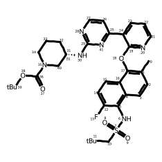 Cc1ccc2c(NS(=O)(=O)CC(C)(C)C)c(F)ccc2c1Oc1ncccc1-c1ccnc(N[C@H]2CCCN(C(=O)OC(C)(C)C)C2)n1